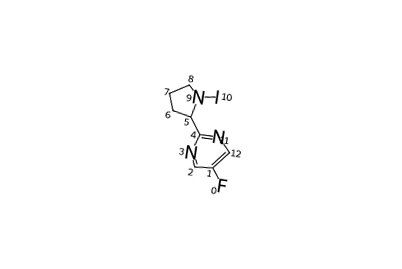 Fc1cnc(C2CCCN2I)nc1